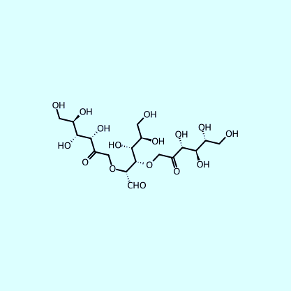 O=C[C@H](OCC(=O)[C@@H](O)[C@H](O)[C@H](O)CO)[C@@H](OCC(=O)[C@H](O)[C@H](O)[C@H](O)CO)[C@H](O)[C@H](O)CO